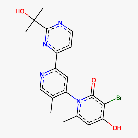 Cc1cnc(-c2ccnc(C(C)(C)O)n2)cc1-n1c(C)cc(O)c(Br)c1=O